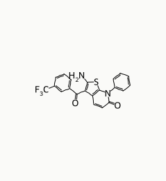 Nc1sc2c(ccc(=O)n2-c2ccccc2)c1C(=O)c1cccc(C(F)(F)F)c1